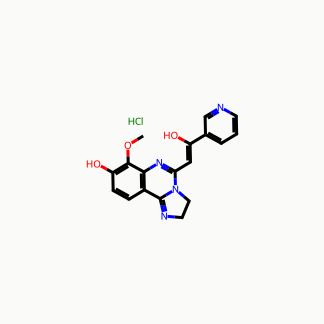 COc1c(O)ccc2c1N=C(C=C(O)c1cccnc1)N1CCN=C21.Cl